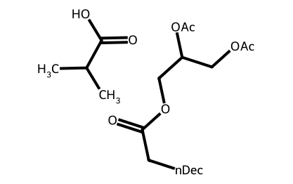 CC(C)C(=O)O.CCCCCCCCCCCC(=O)OCC(COC(C)=O)OC(C)=O